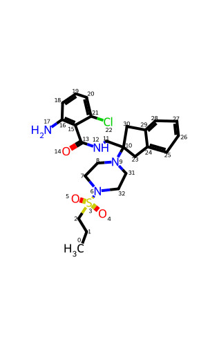 CCCS(=O)(=O)N1CCN(C2(CNC(=O)c3c(N)cccc3Cl)Cc3ccccc3C2)CC1